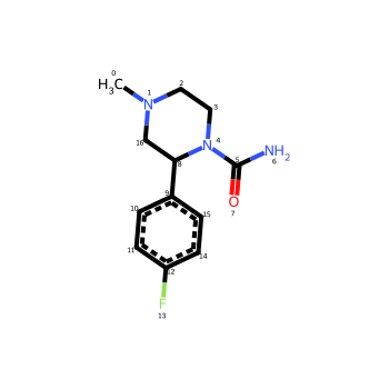 CN1CCN(C(N)=O)C(c2ccc(F)cc2)C1